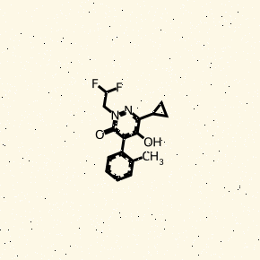 Cc1ccccc1-c1c(O)c(C2CC2)nn(CC(F)F)c1=O